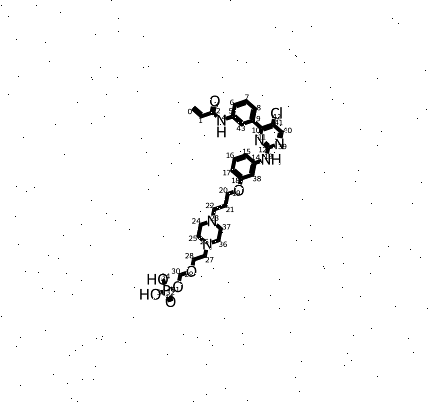 C=CC(=O)Nc1cccc(-c2nc(Nc3cccc(OCCCN4CCN(CCOCOP(=O)(O)O)CC4)c3)ncc2Cl)c1